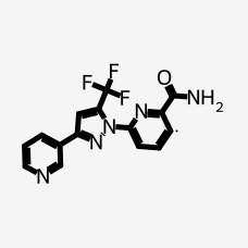 NC(=O)c1[c]ccc(-n2nc(-c3cccnc3)cc2C(F)(F)F)n1